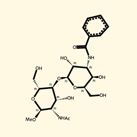 CO[C@H]1O[C@H](CO)[C@@H](O[C@@H]2O[C@H](CO)[C@H](O)[C@@H](NC(=O)c3ccccc3)[C@H]2O)[C@H](O)[C@@H]1NC(C)=O